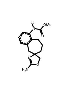 CCN(C(=O)OC)c1cccc2c1CCCC1(COC(N)=N1)C2